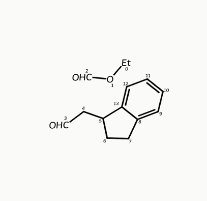 CCOC=O.O=CCC1CCc2ccccc21